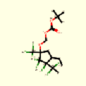 CCC1CC(OCOC(=O)OC(C)(C)C)(C(F)(F)F)C(F)(F)C1(F)C(C)(F)F